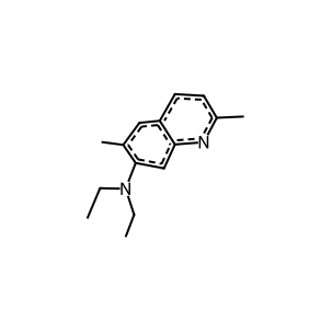 CCN(CC)c1cc2nc(C)ccc2cc1C